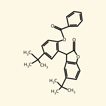 CC(C)(C)c1ccc(OC(=O)c2ccccc2)c(C2C(=O)Oc3ccc(C(C)(C)C)cc32)c1